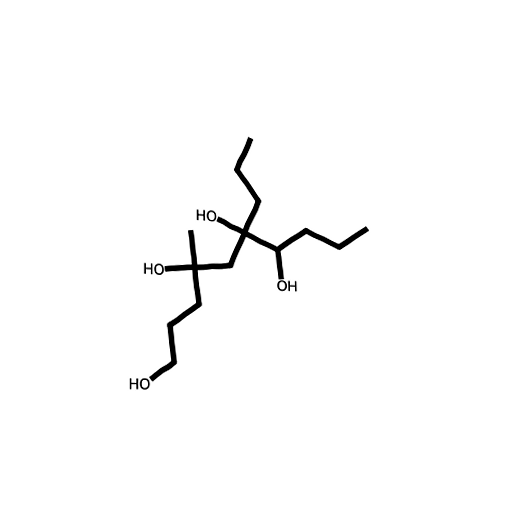 CCCC(O)C(O)(CCC)CC(C)(O)CCCO